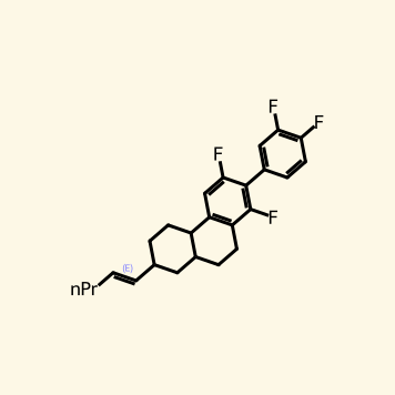 CCC/C=C/C1CCC2c3cc(F)c(-c4ccc(F)c(F)c4)c(F)c3CCC2C1